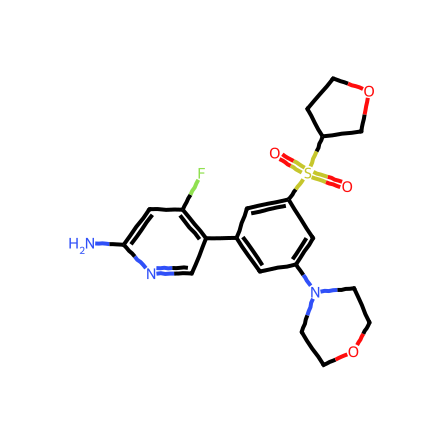 Nc1cc(F)c(-c2cc(N3CCOCC3)cc(S(=O)(=O)C3CCOC3)c2)cn1